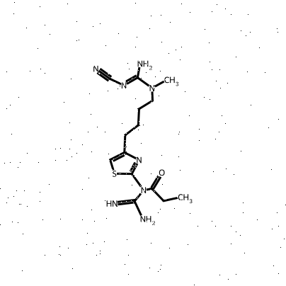 CCC(=O)N(C(=N)N)c1nc(CCCCN(C)C(N)=NC#N)cs1